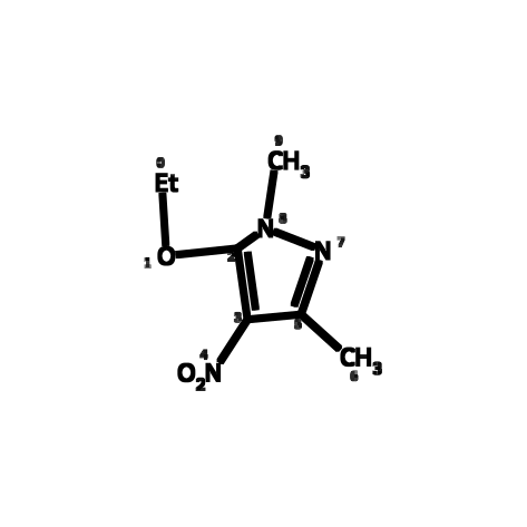 CCOc1c([N+](=O)[O-])c(C)nn1C